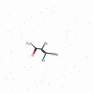 CCC(NC)=C(CC)C(N)=O